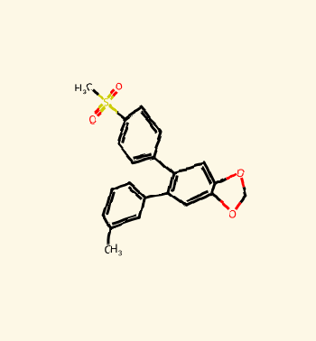 Cc1cccc(-c2cc3c(cc2-c2ccc(S(C)(=O)=O)cc2)OCO3)c1